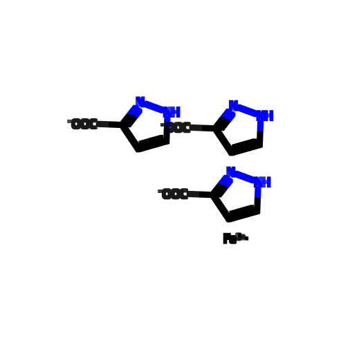 O=C([O-])c1cc[nH]n1.O=C([O-])c1cc[nH]n1.O=C([O-])c1cc[nH]n1.[Fe+3]